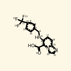 O=C(O)c1c(NCc2ccc(C(F)(F)F)cc2)ccc2nccn12